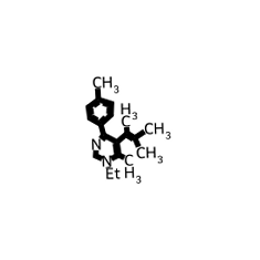 CCN1CN=C(c2ccc(C)cc2)C(C(C)=C(C)C)=C1C